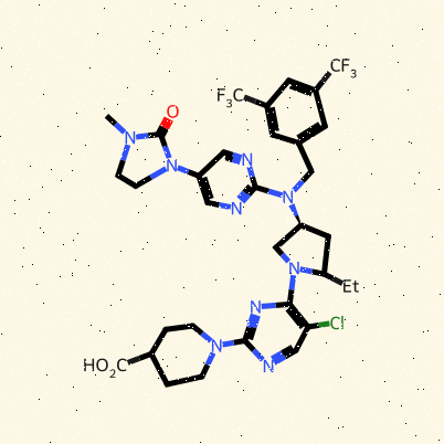 CCC1C[C@H](N(Cc2cc(C(F)(F)F)cc(C(F)(F)F)c2)c2ncc(N3CCN(C)C3=O)cn2)CN1c1nc(N2CCC(C(=O)O)CC2)ncc1Cl